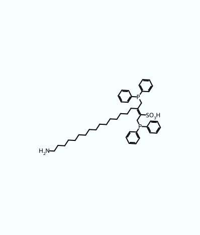 NCCCCCCCCCCCCCCCCC(CP(c1ccccc1)c1ccccc1)=C(CP(c1ccccc1)c1ccccc1)S(=O)(=O)O